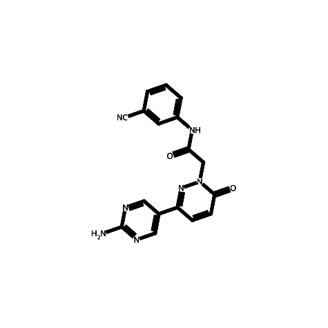 N#Cc1cccc(NC(=O)Cn2nc(-c3cnc(N)nc3)ccc2=O)c1